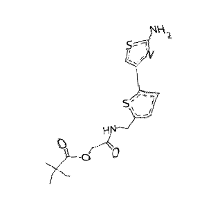 CC(C)(C)C(=O)OCC(=O)NCc1ccc(-c2csc(N)n2)s1